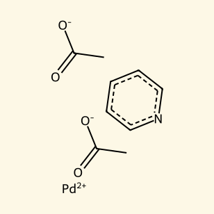 CC(=O)[O-].CC(=O)[O-].[Pd+2].c1ccncc1